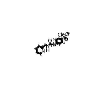 O=C(NCc1ccccn1)Nc1ccc(S(=O)(=O)Cl)cc1